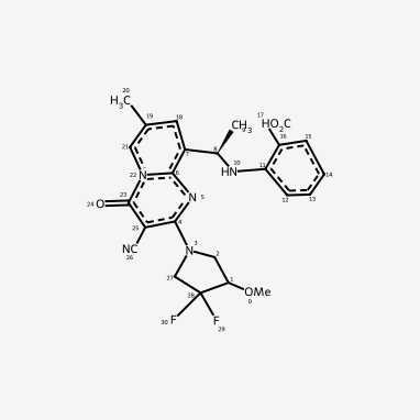 COC1CN(c2nc3c([C@@H](C)Nc4ccccc4C(=O)O)cc(C)cn3c(=O)c2C#N)CC1(F)F